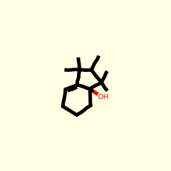 CC1C(C)(C)C2=CCCCC2(O)C1(C)C